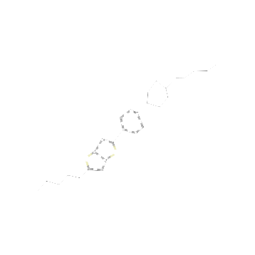 CCCCCc1cc2sc(-c3ccc(C4CCC(CCCCC)CC4)cc3)cc2s1